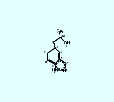 CCC[C@H](O)CC1C=c2cn[nH]c2=CC1